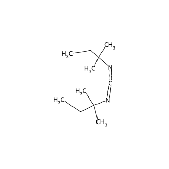 CCC(C)(C)N=C=NC(C)(C)CC